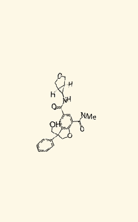 CNC(=O)c1cc(C(=O)NC2[C@H]3COC[C@@H]23)cc2c1OCC2(CO)c1ccccc1